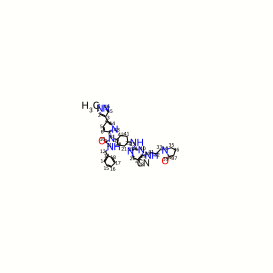 Cn1cc(-c2ccc(N(C(=O)NCc3ccccc3)C3CCC(Nc4ncc(C#N)c(NCCCN5CCCC5=O)n4)CC3)nc2)cn1